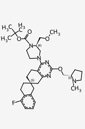 COC[C@H]1CN(c2nc(OC[C@@H]3CCCN3C)nc3c2CC[C@@]2(CCc4c(F)cccc4C2)C3)CCN1C(=O)OC(C)(C)C